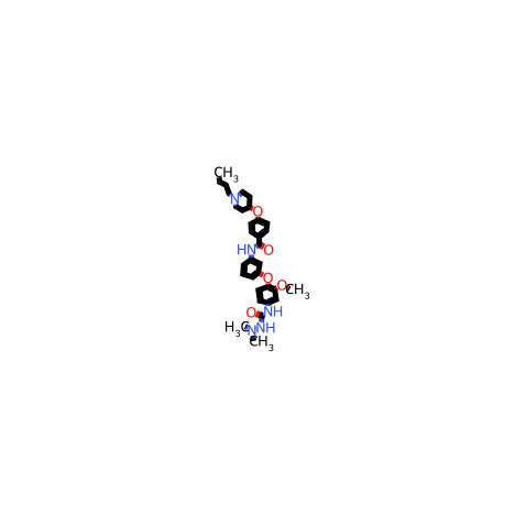 CCCCN1CCC(Oc2ccc(C(=O)Nc3cccc(Oc4ccc(NC(=O)NN(C)C)cc4OC)c3)cc2)CC1